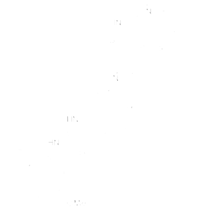 COc1ccc(F)c(NC(=O)Nc2cccc3c2ccn3Cc2c[nH]c3ncccc23)c1